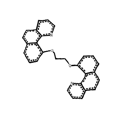 c1cnc2c(c1)ccc1cccc(OCCOc3cccc4ccc5cccnc5c34)c12